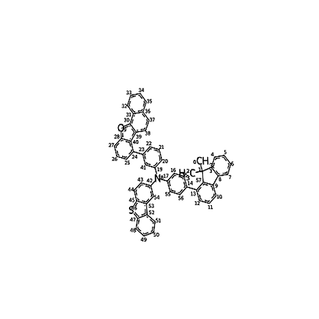 CC1(C)c2ccccc2-c2cccc(-c3ccc(N(c4cccc(-c5cccc6oc7c8ccccc8ccc7c56)c4)c4ccc5sc6ccccc6c5c4)cc3)c21